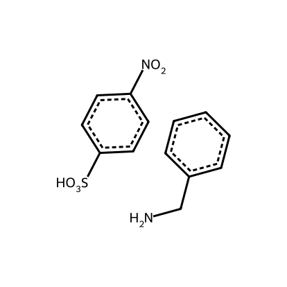 NCc1ccccc1.O=[N+]([O-])c1ccc(S(=O)(=O)O)cc1